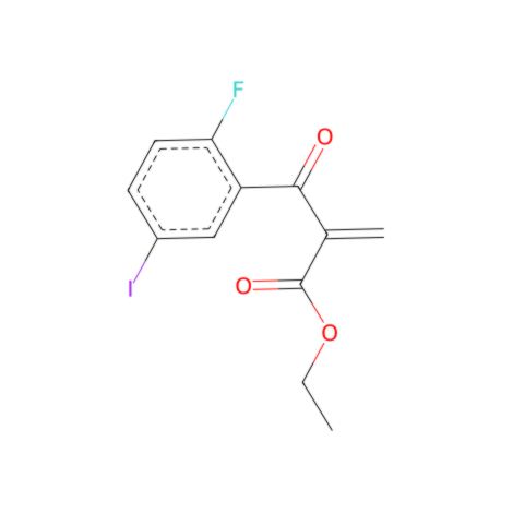 C=C(C(=O)OCC)C(=O)c1cc(I)ccc1F